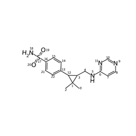 CC1(C)C(CNc2ccncn2)C1c1ccc(S(N)(=O)=O)cc1